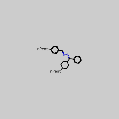 CCCCCc1ccc(C=NN=C(c2ccccc2)C2CCC(CCCCC)CC2)cc1